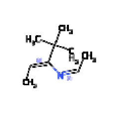 C/C=N\C(=C/C)C(C)(C)C